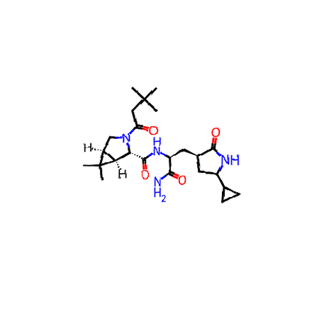 CC(C)(C)CC(=O)N1C[C@H]2[C@@H]([C@H]1C(=O)N[C@@H](C[C@@H]1CC(C3CC3)NC1=O)C(N)=O)C2(C)C